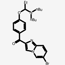 CCCCN(CCCC)C(CC)Oc1ccc(C(=O)c2cn3cc(Br)ccc3n2)cc1